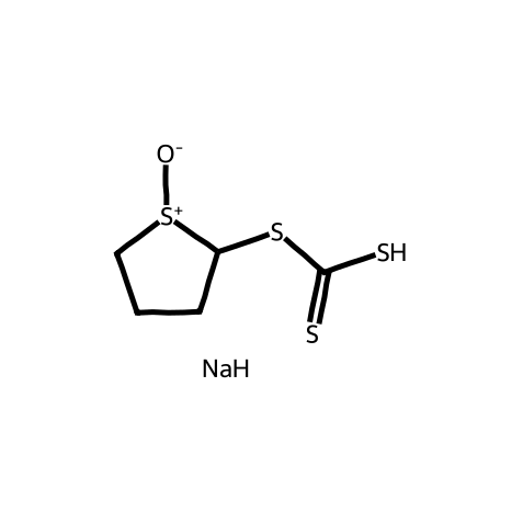 [NaH].[O-][S+]1CCCC1SC(=S)S